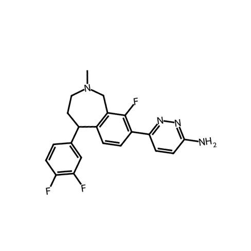 CN1CCC(c2ccc(F)c(F)c2)c2ccc(-c3ccc(N)nn3)c(F)c2C1